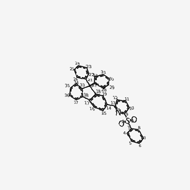 O=S(=O)(c1ccccc1)c1cccc(-c2ccc3c(c2)C(c2ccccc2)(c2ccccc2)c2ccccc2-3)n1